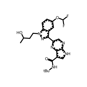 CC(O)CCn1nc(-c2cnc3[nH]cc(C(=O)NC(C)(C)C)c3n2)c2cc(OC(F)F)ccc21